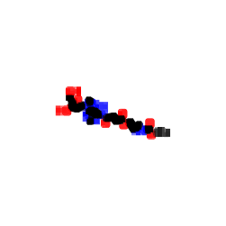 CC(C)(C)OC(=O)NCCCOC(=O)CCC(=O)Nc1ncnc2c1ncn2[C@H]1CC(O)[C@@H](CO)O1